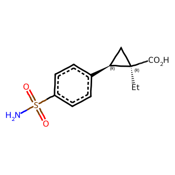 CC[C@@]1(C(=O)O)C[C@@H]1c1ccc(S(N)(=O)=O)cc1